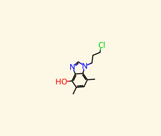 Cc1cc(C)c2c(ncn2CCCCl)c1O